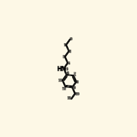 CCCCCNc1[c]cc(CC)cc1